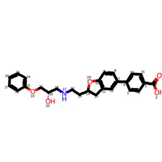 O=C(O)c1ccc(-c2ccc3c(c2)CC(CCNC[C@H](O)COc2ccccc2)O3)cc1